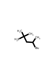 BC(C)(C)CC(C)C(C)CC